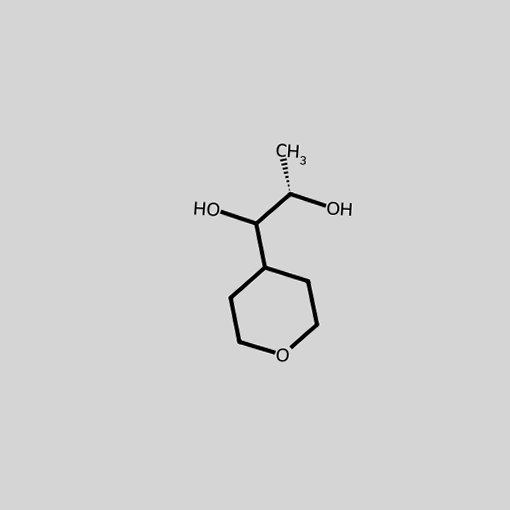 C[C@H](O)C(O)C1CCOCC1